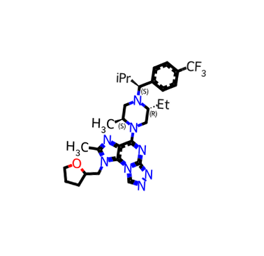 CC[C@@H]1CN(c2nc3nncn3c3c2nc(C)n3CC2CCCO2)[C@@H](C)CN1[C@H](c1ccc(C(F)(F)F)cc1)C(C)C